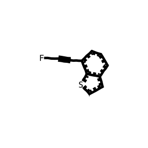 FC#Cc1cccc2c[c]sc12